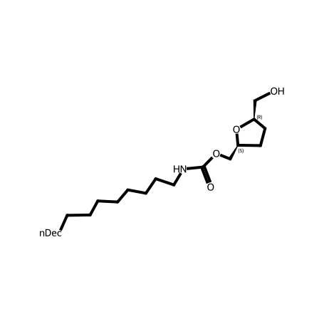 CCCCCCCCCCCCCCCCCCNC(=O)OC[C@@H]1CC[C@H](CO)O1